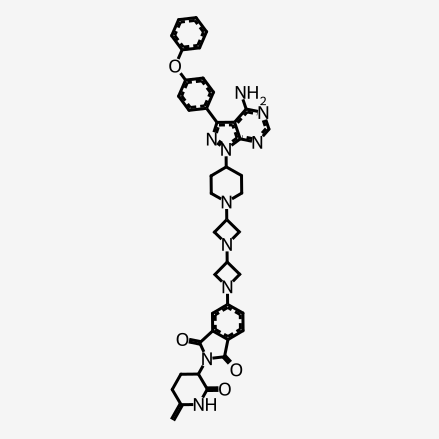 C=C1CCC(N2C(=O)c3ccc(N4CC(N5CC(N6CCC(n7nc(-c8ccc(Oc9ccccc9)cc8)c8c(N)ncnc87)CC6)C5)C4)cc3C2=O)C(=O)N1